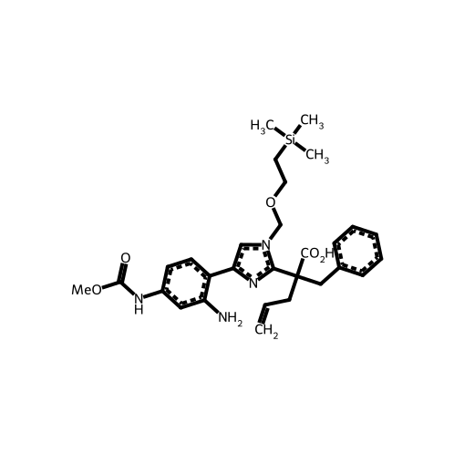 C=CCC(Cc1ccccc1)(C(=O)O)c1nc(-c2ccc(NC(=O)OC)cc2N)cn1COCC[Si](C)(C)C